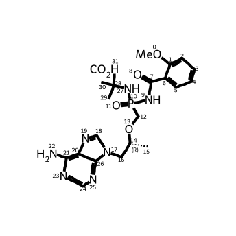 COc1ccccc1C(=O)NP(=O)(CO[C@H](C)Cn1cnc2c(N)ncnc21)NC(C)(C)C(=O)O